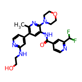 Cc1nc(N2CCOCC2)c(NC(=O)c2ccnc(C(F)F)c2)cc1-c1ccnc(NCCO)c1